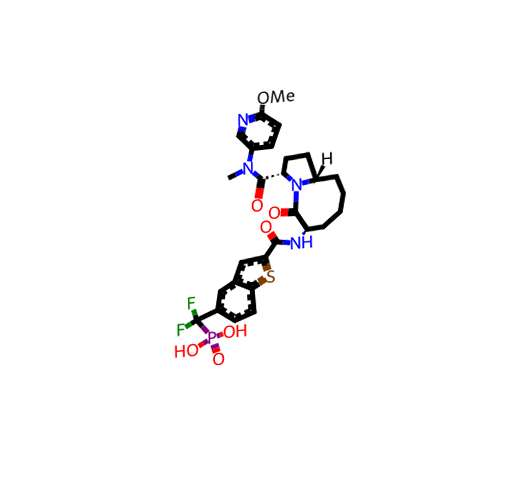 COc1ccc(N(C)C(=O)[C@@H]2CC[C@@H]3CCCC[C@H](NC(=O)c4cc5cc(C(F)(F)P(=O)(O)O)ccc5s4)C(=O)N32)cn1